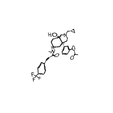 CC(=O)Oc1cccc([C@@]23CCN(CC4CC4)C[C@@]2(O)CC[C@@H](N(C)C(=O)C#Cc2ccc(C(F)(F)F)cc2)C3)c1